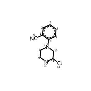 N#Cc1ccccc1N1CC[N]C(Cl)C1